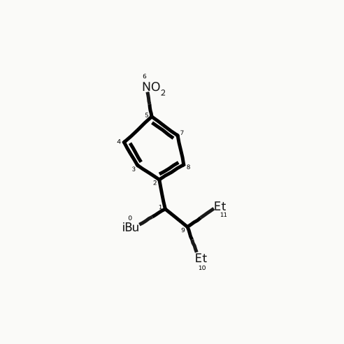 CCC(C)C(c1ccc([N+](=O)[O-])cc1)C(CC)CC